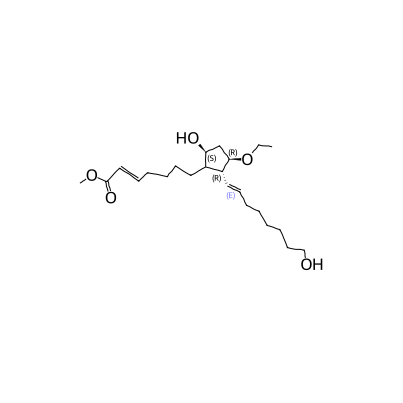 CCO[C@@H]1C[C@H](O)C(CCCCC=CC(=O)OC)[C@H]1/C=C/CCCCCCO